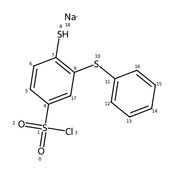 O=S(=O)(Cl)c1ccc(S)c(Sc2ccccc2)c1.[Na]